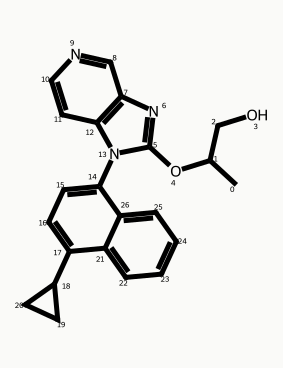 CC(CO)Oc1nc2cnccc2n1-c1ccc(C2CC2)c2ccccc12